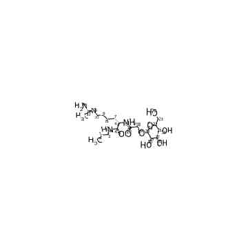 CCCNC(=O)[C@H](CCCC/N=C(\C)N)NC(=O)CO[C@@H]1O[C@@H](CO)[C@H](O)[C@@H](O)[C@H]1O